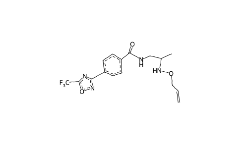 C=CCONC(C)CNC(=O)c1ccc(-c2noc(C(F)(F)F)n2)cc1